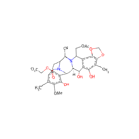 COc1c(C)cc2c(c1O)C1[C@@H]3C(O)c4c(O)c(C)c5c(c4C(COC(C)=O)N3C(C#N)C(C2)N1C(=O)OCC(Cl)(Cl)Cl)OCO5